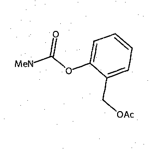 CNC(=O)Oc1ccccc1COC(C)=O